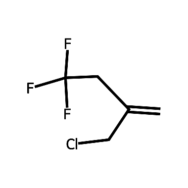 C=C(CCl)CC(F)(F)F